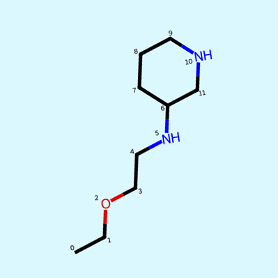 CCOCCNC1CCCNC1